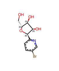 OC[C@H]1O[C@H](c2ccc(Br)cn2)[C@H](O)[C@@H]1O